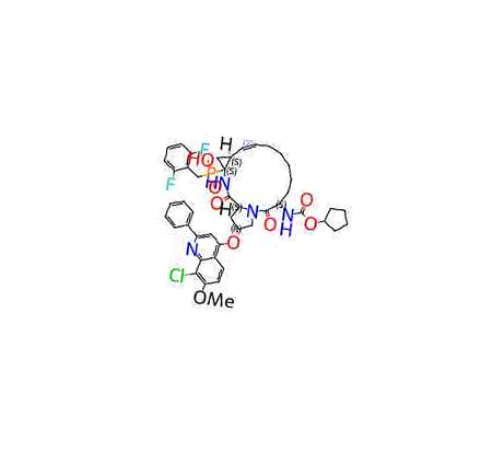 COc1ccc2c(O[C@@H]3C[C@H]4C(=O)N[C@]5(P(=O)(O)Cc6c(F)cccc6F)C[C@H]5/C=C\CCCCC[C@H](NC(=O)OC5CCCC5)C(=O)N4C3)cc(-c3ccccc3)nc2c1Cl